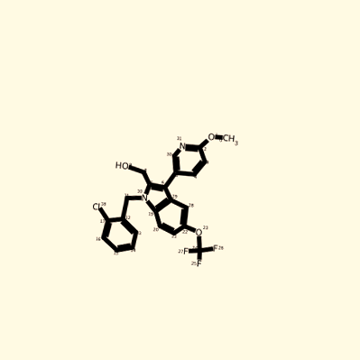 COc1ccc(-c2c(CO)n(Cc3ccccc3Cl)c3ccc(OC(F)(F)F)cc23)cn1